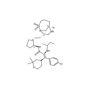 CCC(C)N[C@H](C(=O)N[C@H]1CCC[C@@H]1CC[C@H]1CN[C@@H]2CCCS(=O)(=O)N1C2)[C@@H](c1ccc(Cl)cc1)C1CCOC(C)(C)C1